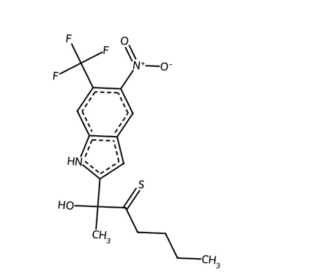 CCCCC(=S)C(C)(O)c1cc2cc([N+](=O)[O-])c(C(F)(F)F)cc2[nH]1